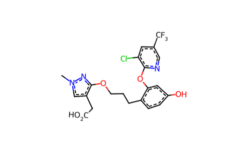 Cn1cc(CC(=O)O)c(OCCCc2ccc(O)cc2Oc2ncc(C(F)(F)F)cc2Cl)n1